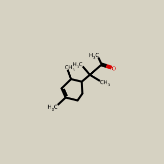 CC(=O)C(C)(C)C1CCC(C)=CC1C